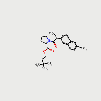 Cc1ccc2cc([C@H](C)C(=O)N3CCC[C@H]3C(=O)OCCC(C)(C)C)ccc2c1